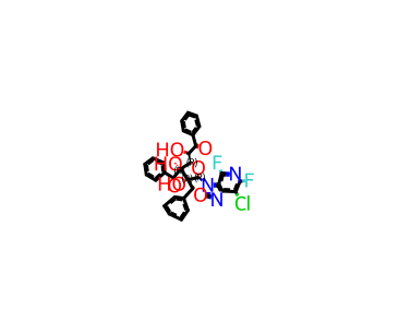 O=C(c1ccccc1)C(O)[C@H]1O[C@@H](n2cnc3c(Cl)c(F)nc(F)c32)[C@@](O)(C(=O)c2ccccc2)[C@@]1(O)C(=O)c1ccccc1